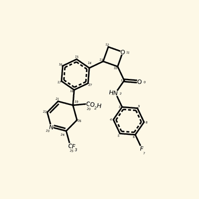 O=C(Nc1ccc(F)cc1)C1OCC1c1cccc(C2(C(=O)O)C=CN=C(C(F)(F)F)C2)c1